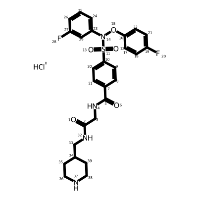 Cl.O=C(CNC(=O)c1ccc(S(=O)(=O)N(Oc2ccc(F)cc2)c2cccc(F)c2)cc1)NCC1CCNCC1